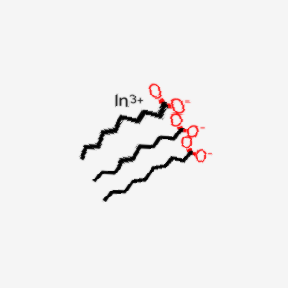 CCCCCCCCCC(=O)[O-].CCCCCCCCCC(=O)[O-].CCCCCCCCCC(=O)[O-].[In+3]